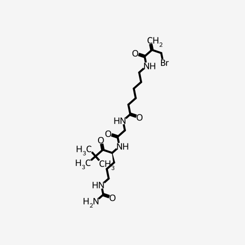 C=C(CBr)C(=O)NCCCCCC(=O)NCC(=O)N[C@@H](CCCNC(N)=O)C(=O)C(C)(C)C